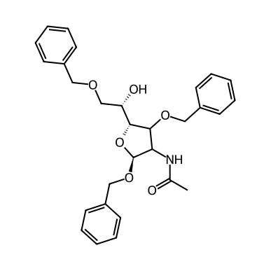 CC(=O)NC1C(OCc2ccccc2)[C@@H]([C@@H](O)COCc2ccccc2)O[C@@H]1OCc1ccccc1